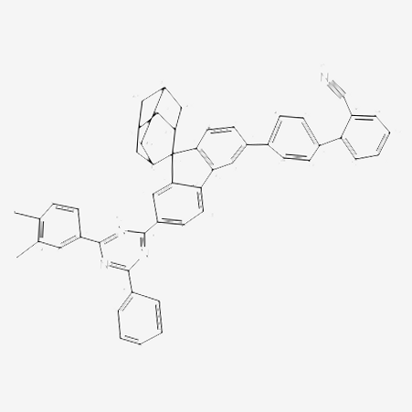 Cc1ccc(-c2nc(-c3ccccc3)nc(-c3ccc4c(c3)C3(c5ccc(-c6ccc(-c7ccccc7C#N)cc6)cc5-4)C4CC5CC(C4)CC3C5)n2)cc1C